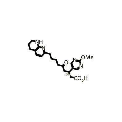 COc1ncc([C@@H](CC(=O)O)CC(=O)CCCCc2ccc3c(n2)NCCC3)cn1